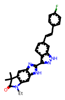 CCN1C(=O)C(C)(C)c2cc3nc(-c4n[nH]c5cc(C=Cc6ccc(F)cc6)ccc45)[nH]c3cc21